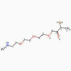 CC(C)NCCOCCOCCOCC(=O)C(C)S